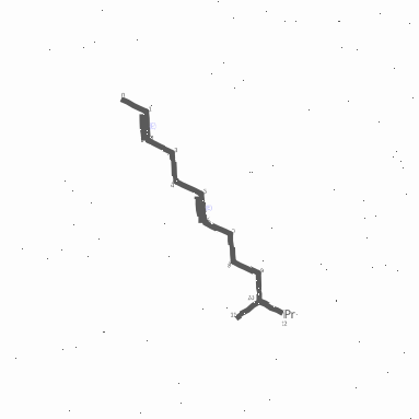 C/C=C/CC/C=C/CCCC(C)[C](C)C